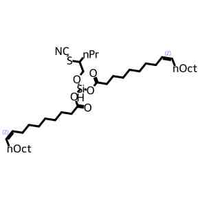 CCCCCCCC/C=C\CCCCCCCC(=O)O[SiH](OCC(CCC)SC#N)OC(=O)CCCCCCC/C=C\CCCCCCCC